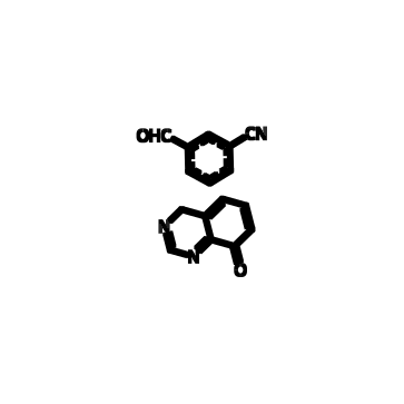 N#Cc1cccc(C=O)c1.O=C1C=CC=C2CN=CN=C12